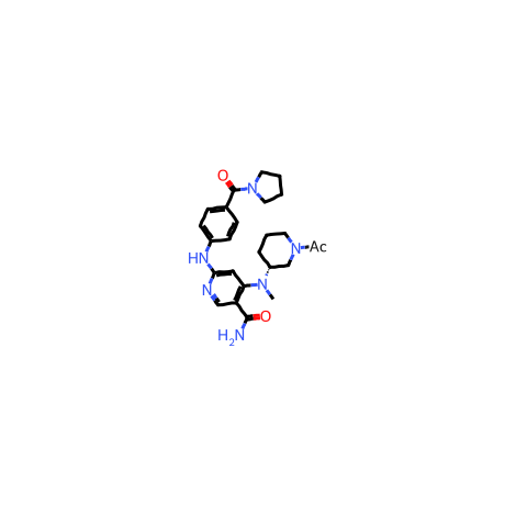 CC(=O)N1CCC[C@@H](N(C)c2cc(Nc3ccc(C(=O)N4CCCC4)cc3)ncc2C(N)=O)C1